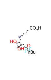 CCCCC(F)(F)C(=O)CC[C@@H]1C(C/C=C\CCCCCC(=O)O)[C@@H](O)C[C@H]1O